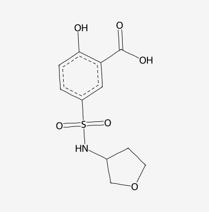 O=C(O)c1cc(S(=O)(=O)NC2CCOC2)ccc1O